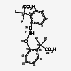 CC(C)(C(=O)O)c1ccccc1OBOc1ccccc1C(C)(C)C(=O)O